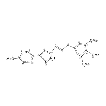 COc1ccc(-c2cc(C=CCc3cc(OC)c(OC)c(OC)c3)[nH]n2)cc1